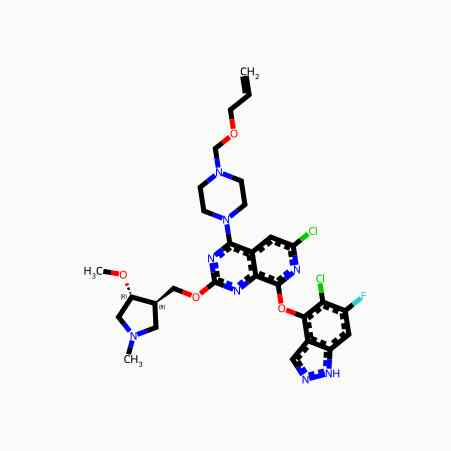 C=CCOCN1CCN(c2nc(OC[C@H]3CN(C)C[C@@H]3OC)nc3c(Oc4c(Cl)c(F)cc5[nH]ncc45)nc(Cl)cc23)CC1